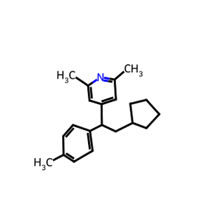 Cc1ccc(C(CC2CCCC2)c2cc(C)nc(C)c2)cc1